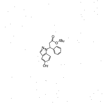 CC(C)(C)OC(=O)CC(c1ccccc1)n1ncc2cc(O)ccc21